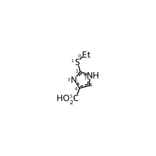 CCSc1nc(C(=O)O)c[nH]1